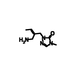 C/C=C(\CN)Cn1ncn(C)c1=O